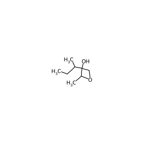 CCC(C)C1(O)COC1C